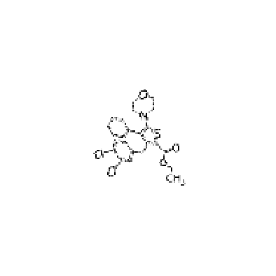 CCOC(=O)c1sc(N2CCOCC2)c(-c2ccccc2)c1Cc1ccc(Cl)c(Cl)c1